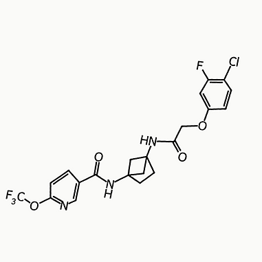 O=C(COc1ccc(Cl)c(F)c1)NC12CCC(NC(=O)c3ccc(OC(F)(F)F)nc3)(C1)C2